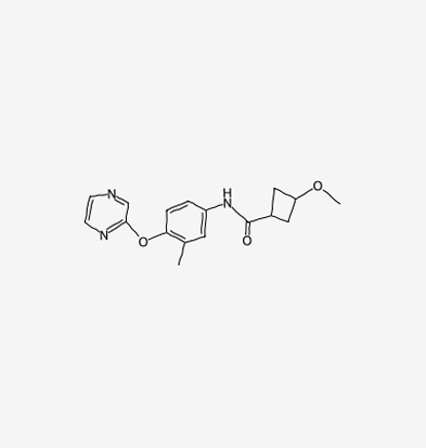 COC1CC(C(=O)Nc2ccc(Oc3cnccn3)c(C)c2)C1